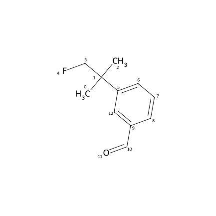 CC(C)(CF)c1cccc(C=O)c1